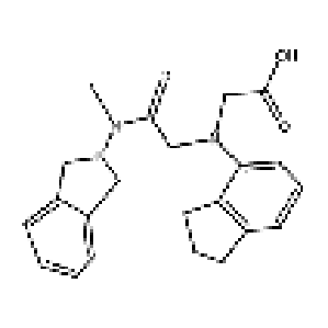 CN(C(=O)CN(CC(=O)O)c1cccc2c1CCC2)N1Cc2ccccc2C1